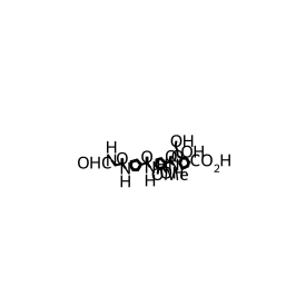 COc1c(NC(=O)c2ccc(NC(=O)CNC=O)cc2)ccc(C(=O)Nc2ccc(C(=O)O)c(O)c2OCCO)c1O